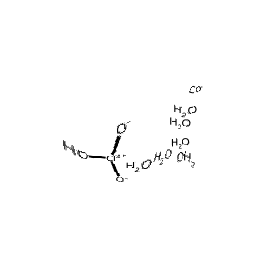 O.O.O.O.O.O.[Co].[O-][Cl+2]([O-])O